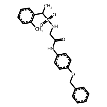 Cc1ccccc1C(C)S(=O)(=O)NCC(=O)Nc1ccc(OCc2ccccc2)cc1